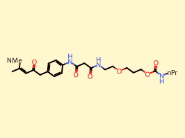 CCCNC(=O)OCCCOCCNC(=O)CC(=O)Nc1ccc(CC(=O)/C=C(/C)NC)cc1